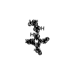 CC(=O)OCC(COP(=O)(O)OCCNC(=O)CN1CCN(CCC(C)(C)OC=O)CCN(CCC(C)(C)OC=O)CCN(CC(=O)OC(C)(C)C)CC1)OC(C)=O